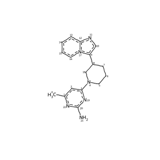 Cc1cc(N2CCCC(c3cnc4ccccn34)C2)nc(N)n1